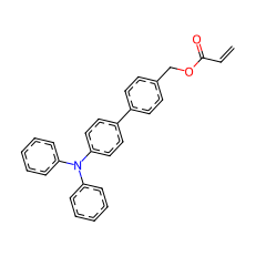 C=CC(=O)OCc1ccc(-c2ccc(N(c3ccccc3)c3ccccc3)cc2)cc1